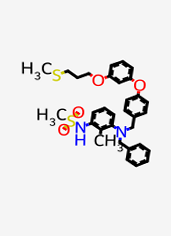 CSCCCOc1cccc(Oc2ccc(CN(Cc3ccccc3)c3cccc(NS(C)(=O)=O)c3C)cc2)c1